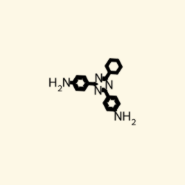 Nc1ccc(-c2nc(-c3ccc(N)cc3)nc(C3CCCCC3)n2)cc1